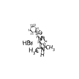 Br.CC1=C2C=NN(CC(=O)c3ccccc3)C=C2C(C)N1